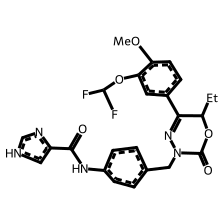 CCC1OC(=O)N(Cc2ccc(NC(=O)c3c[nH]cn3)cc2)N=C1c1ccc(OC)c(OC(F)F)c1